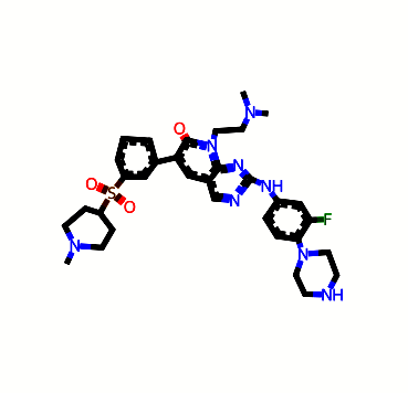 CN(C)CCn1c(=O)c(-c2cccc(S(=O)(=O)C3CCN(C)CC3)c2)cc2cnc(Nc3ccc(N4CCNCC4)c(F)c3)nc21